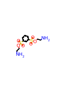 NCCOS(=O)(=O)c1cccc(S(=O)(=O)OCCN)c1